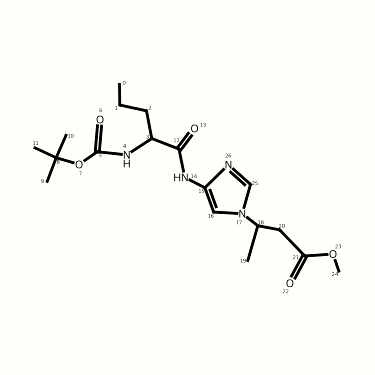 CCCC(NC(=O)OC(C)(C)C)C(=O)Nc1cn(C(C)CC(=O)OC)cn1